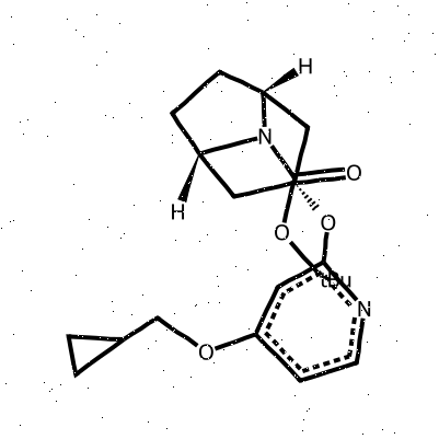 CC(C)(C)OC(=O)N1[C@@H]2CC[C@H]1C[C@@H](Oc1cc(OCC3CC3)ccn1)C2